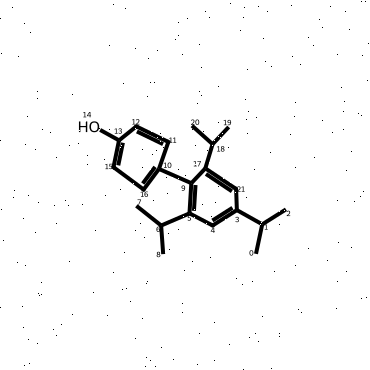 CC(C)c1cc(C(C)C)c(-c2ccc(O)cc2)c(C(C)C)c1